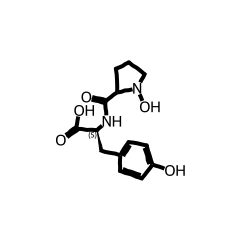 O=C(N[C@@H](Cc1ccc(O)cc1)C(=O)O)C1CCCN1O